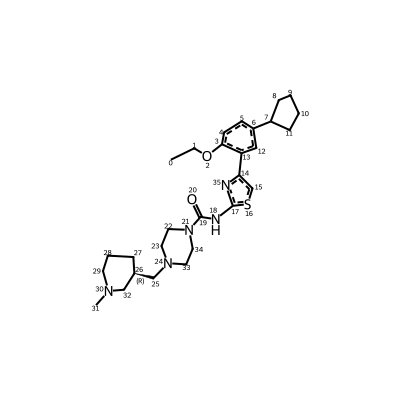 CCOc1ccc(C2CCCC2)cc1-c1csc(NC(=O)N2CCN(C[C@@H]3CCCN(C)C3)CC2)n1